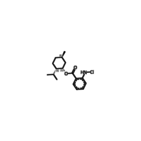 CC(C)[C@@H]1CC[C@@H](C)C[C@@H]1OC(=O)c1ccccc1NCl